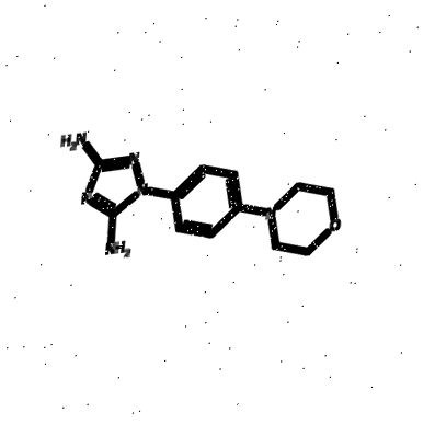 Nc1nc(N)n(-c2ccc(N3CCOCC3)cc2)n1